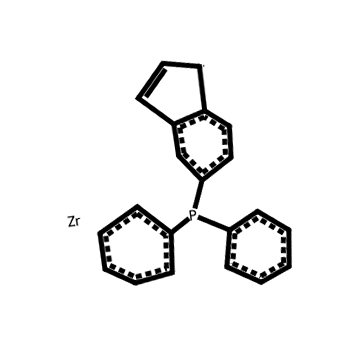 [CH]1C=Cc2cc(P(c3ccccc3)c3ccccc3)ccc21.[Zr]